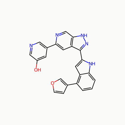 Oc1cncc(-c2cc3c(-c4cc5c(-c6ccoc6)cccc5[nH]4)n[nH]c3cn2)c1